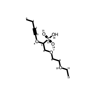 CCC#COC(COCCOCC)S(=O)(=O)O